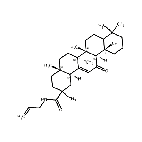 C=CCNC(=O)C1(C)CC[C@]2(C)CC[C@]3(C)C(=CC(=O)[C@@H]4[C@@]5(C)CCCC(C)(C)C5CC[C@]43C)[C@H]2C1